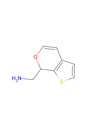 NCC1OC=Cc2ccsc21